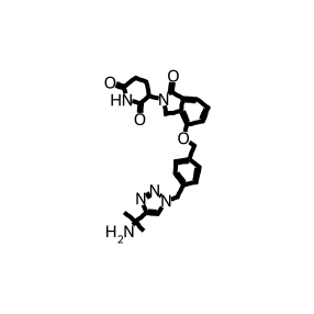 CC(C)(N)c1cn(Cc2ccc(COc3cccc4c3CN(C3CCC(=O)NC3=O)C4=O)cc2)nn1